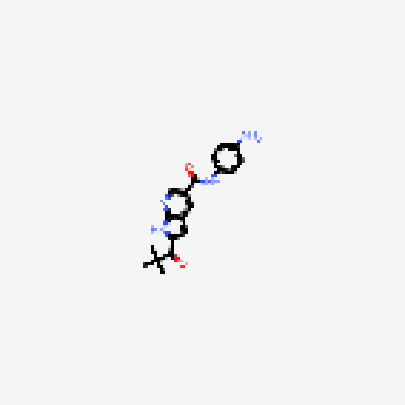 CC(C)(C)C(=O)c1cc2cc(C(=O)Nc3ccc(N)cc3)cnc2[nH]1